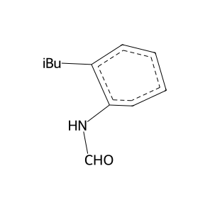 CCC(C)c1ccccc1NC=O